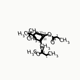 CCC(=O)OC.CCC(=O)OC1c2cc(C(C)(C)C)cc(C)c21